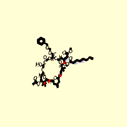 C=C1C[C@H]2C[C@]3(OC)O[C@H](C[C@@H](O)CC(=O)O[C@@H]([C@@H](C)OCOCc4ccccc4)C[C@@H]4C/C(=C\C(=O)OC)[C@H](OC(=O)/C=C/C=C/CCC)[C@@](OC)(O4)C(C)(C)/C=C/[C@@H](C1)O2)C[C@H](OC(C)=O)C3(C)C